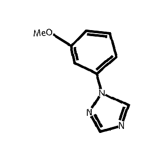 COc1cccc(-n2cncn2)c1